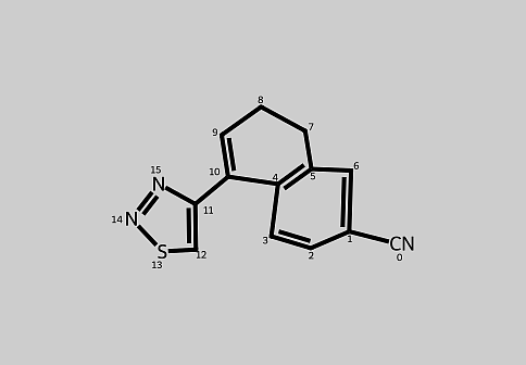 N#Cc1ccc2c(c1)CCC=C2c1csnn1